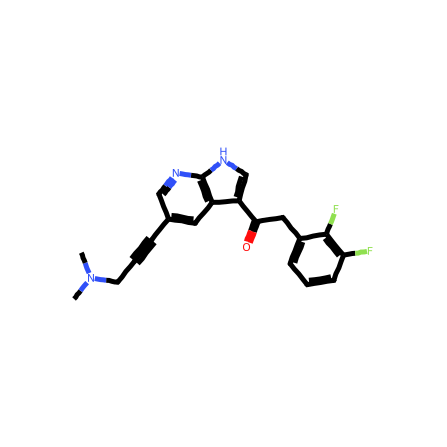 CN(C)CC#Cc1cnc2[nH]cc(C(=O)Cc3cccc(F)c3F)c2c1